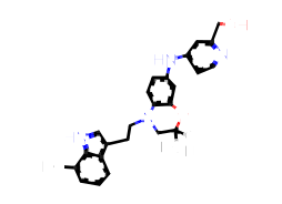 Cc1cccc2c(CCN3CC(C)(C)Oc4cc(Nc5ccnc(CO)c5)ccc43)c[nH]c12